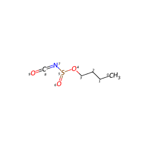 CCCCOS(=O)N=C=O